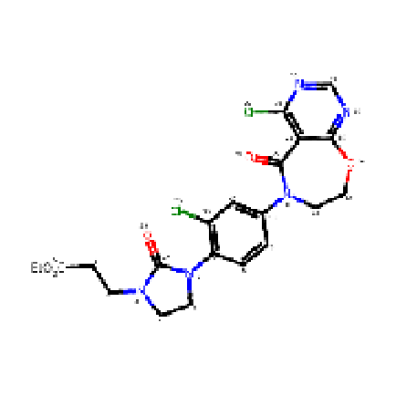 CCOC(=O)CCN1CCN(c2ccc(N3CCOc4ncnc(Cl)c4C3=O)cc2Cl)C1=O